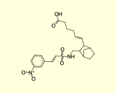 O=C(O)CCC/C=C/C1C2CCC(C2)C1CNS(=O)(=O)/C=C/c1cccc([N+](=O)[O-])c1